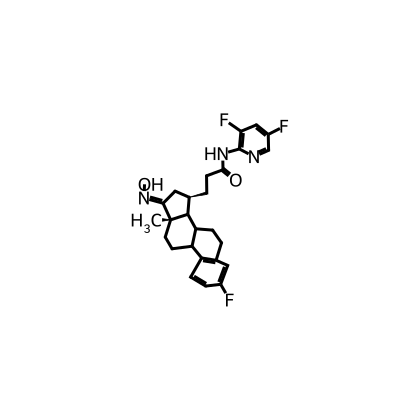 C[C@]12CCC3c4ccc(F)cc4CCC3C1[C@H](CCC(=O)Nc1ncc(F)cc1F)C/C2=N\O